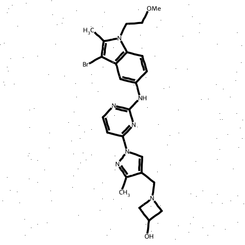 COCCn1c(C)c(Br)c2cc(Nc3nccc(-n4cc(CN5CC(O)C5)c(C)n4)n3)ccc21